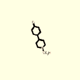 O=C1CCC(C2CCN(C(=O)O)CC2)CC1